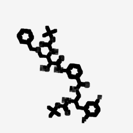 CC(C)(C)OC(=O)NC(CNC(=O)c1cccc(NC(=O)[C@@H](O)[C@@H](COCc2ccccc2)NC(=O)OC(C)(C)C)c1)Cc1cc(F)ccc1F